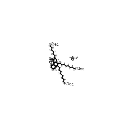 C=O.CCCCCCCCCCCCCCCCCCc1c(CCCCCCCCCCCCCCCCCC)c(S(=O)(=O)[O-])c2ccccc2c1CCCCCCCCCCCCCCCCCC.[Na+]